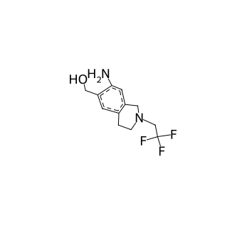 Nc1cc2c(cc1CO)CCN(CC(F)(F)F)C2